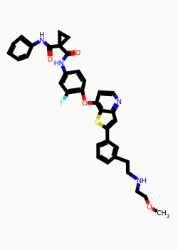 COCCNCCc1cccc(-c2cc3nccc(Oc4ccc(NC(=O)C5(C(=O)Nc6ccccc6)CC5)cc4F)c3s2)c1